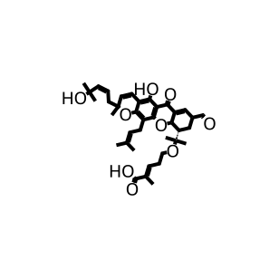 CC(C)=CCc1c2c(c(O)c3c1OC1C(=CC(C=O)C[C@@H]1C(C)(C)OCC/C=C(\C)C(=O)O)C3=O)C=CC(C)(C/C=C\C(C)(C)O)O2